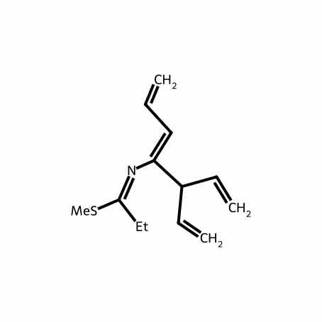 C=C/C=C(\N=C(/CC)SC)C(C=C)C=C